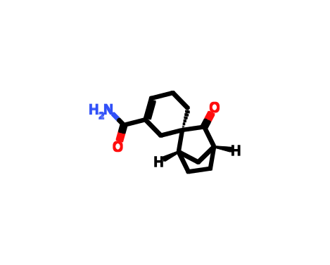 NC(=O)C1=CCC[C@]2(C1)C(=O)[C@@H]1CC[C@H]2C1